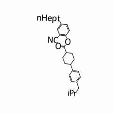 CCCCCCCc1ccc(OC(=O)C2CCC(c3ccc(CC(C)C)cc3)CC2)c(C#N)c1